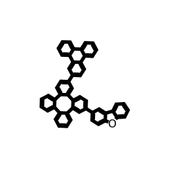 c1ccc2c(c1)-c1ccccc1-c1cc(-c3ccc4oc5ccccc5c4c3)ccc1-c1cc(-c3ccc4c5ccccc5c5ccccc5c4c3)ccc1-2